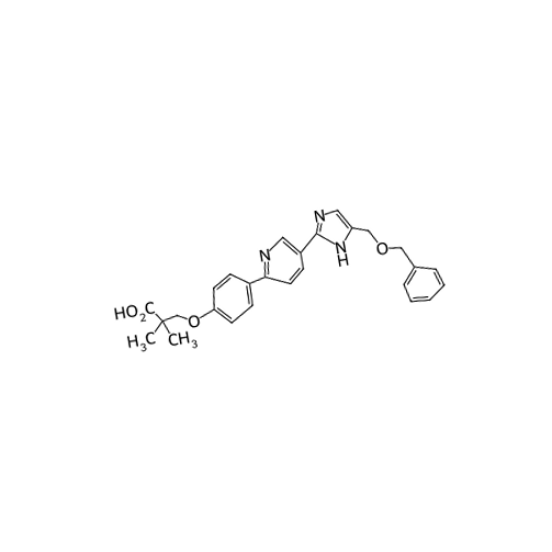 CC(C)(COc1ccc(-c2ccc(-c3ncc(COCc4ccccc4)[nH]3)cn2)cc1)C(=O)O